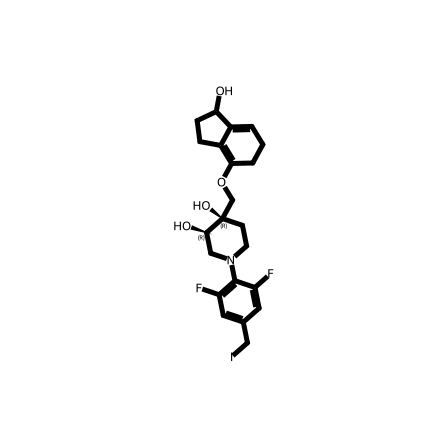 OC1CCC2=C(OC[C@]3(O)CCN(c4c(F)cc(CI)cc4F)C[C@H]3O)CCC=C21